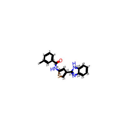 Cc1cccc(C(=O)Nc2cc(-c3nc4ccccc4[nH]3)cs2)c1